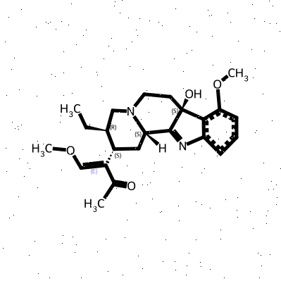 CC[C@H]1CN2CC[C@@]3(O)C(=Nc4cccc(OC)c43)[C@@H]2C[C@@H]1/C(=C\OC)C(C)=O